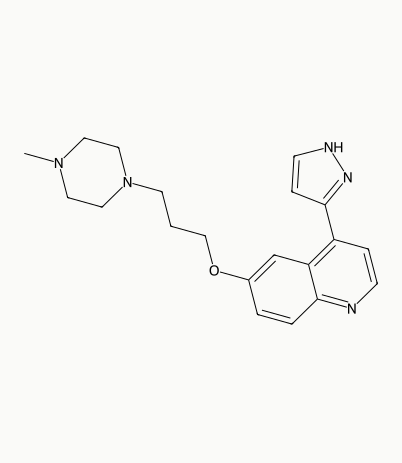 CN1CCN(CCCOc2ccc3nccc(-c4cc[nH]n4)c3c2)CC1